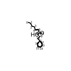 CCCCC=CP(=O)(O)CCc1ccccc1